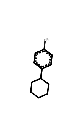 CCCc1ccc(C2CCCCC2)cc1